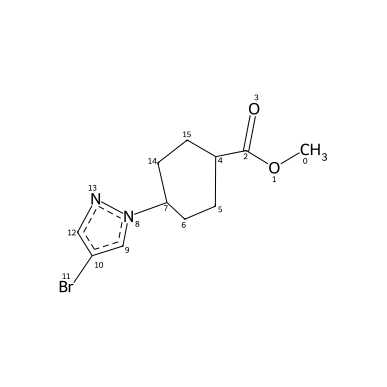 COC(=O)C1CCC(n2cc(Br)cn2)CC1